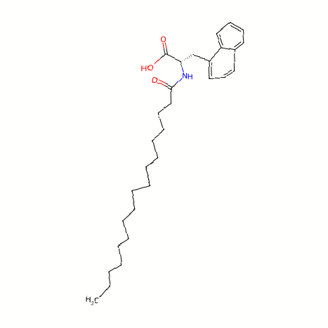 CCCCCCCCCCCCCCCCC(=O)N[C@@H](Cc1cccc2ccccc12)C(=O)O